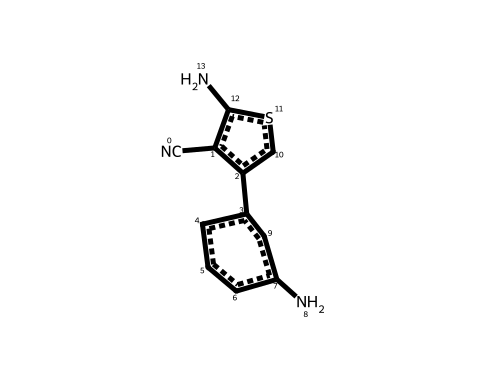 N#Cc1c(-c2cccc(N)c2)csc1N